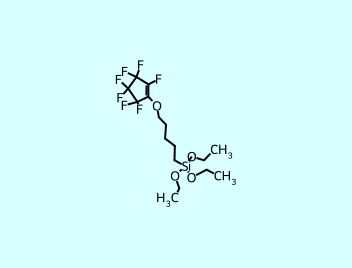 CCO[Si](CCCCCOC1=C(F)C(F)(F)C(F)(F)C1(F)F)(OCC)OCC